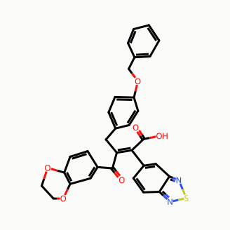 O=C(O)C(=C(Cc1ccc(OCc2ccccc2)cc1)C(=O)c1ccc2c(c1)OCCO2)c1ccc2nsnc2c1